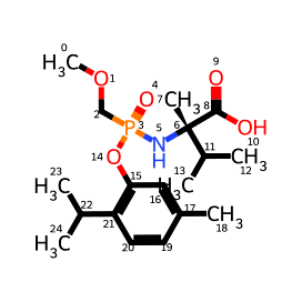 COCP(=O)(N[C@](C)(C(=O)O)C(C)C)Oc1cc(C)ccc1C(C)C